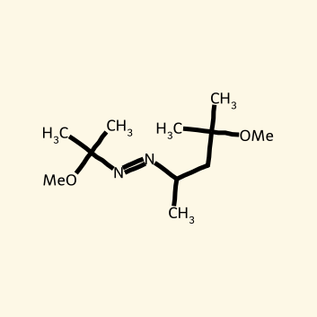 COC(C)(C)CC(C)N=NC(C)(C)OC